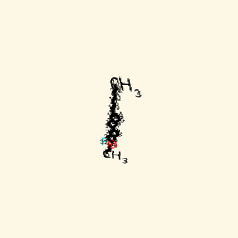 C/C=C/COc1cc2ccc(C3CCC4CC(CCCCCCC)CCC4C3)cc2cc1F